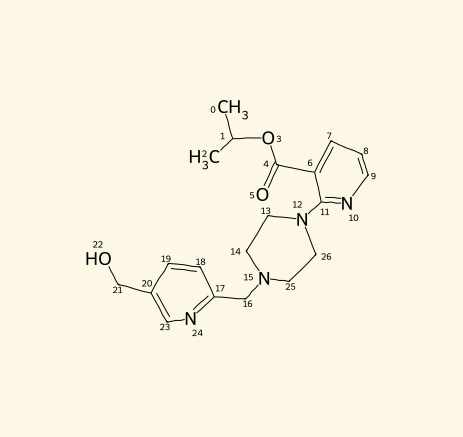 CC(C)OC(=O)c1cccnc1N1CCN(Cc2ccc(CO)cn2)CC1